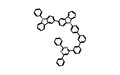 c1ccc(-c2cc(-c3cccc(-c4cccc(-c5ccc(-n6c7ccccc7c7cc(-c8ccc9c(c8)c8ccccc8n9-c8ccccc8)ccc76)cc5)c4)c3)nc(-c3ccccc3)n2)cc1